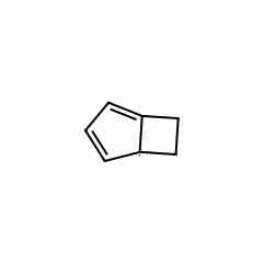 C1=C[C]2CCC2=C1